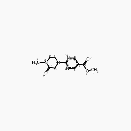 COC(=O)c1cnc(N2CCN(C)C(=O)C2)nc1